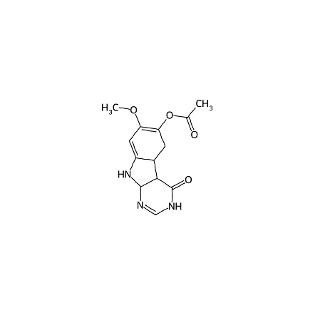 COC1=C(OC(C)=O)CC2C(=C1)NC1N=CNC(=O)C12